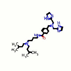 CC(C)CCN(CCCCNC(=O)c1ccc(CN(CC2=NCCN2)Cc2ncc[nH]2)cc1)CCC(C)C